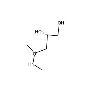 CNN(C)C[C@H](O)CO